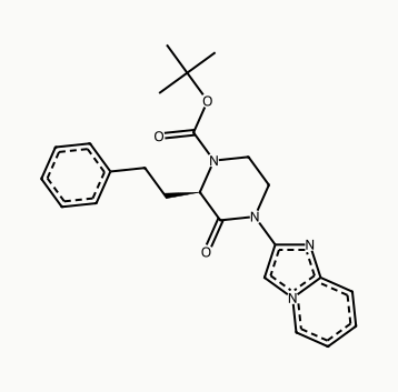 CC(C)(C)OC(=O)N1CCN(c2cn3ccccc3n2)C(=O)[C@H]1CCc1ccccc1